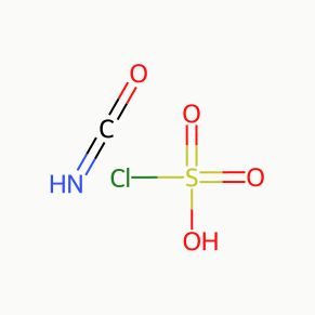 N=C=O.O=S(=O)(O)Cl